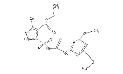 CCOC(=O)c1c(C)n[nH]c1S(=O)(=O)NC(=O)Nc1cc(OC)cc(OC)n1